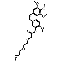 COCCOCCOCC(=O)Oc1cc(/C=C\c2cc(OC)c(OC)c(OC)c2)ccc1OC